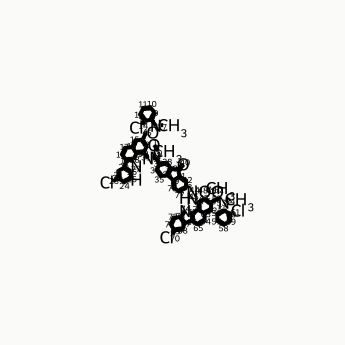 COc1c(CON(C)c2ccccc2Cl)cc2ccc3c4cc(Cl)ccc4[nH]c3c2c1N=Nc1ccc2c(c1)C(=O)c1cc(N=Nc3c(OC)c(C(=O)N(C)c4ccccc4Cl)cc4ccc5c6cc(Cl)ccc6[nH]c5c34)ccc1-2